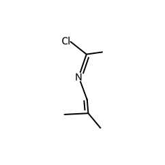 CC(C)=C/N=C(\C)Cl